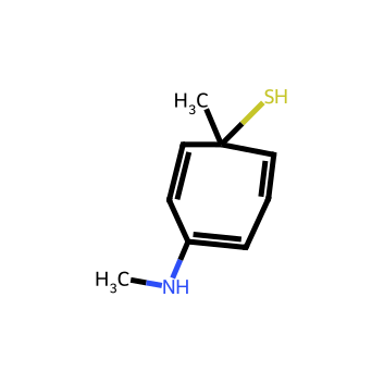 CNC1=CC=CC(C)(S)C=C1